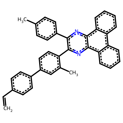 C=Cc1ccc(-c2ccc(-c3nc4c5ccccc5c5ccccc5c4nc3-c3ccc(C)cc3)c(C)c2)cc1